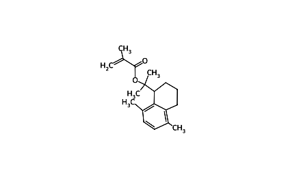 C=C(C)C(=O)OC(C)(C)C1CCCc2c(C)ccc(C)c21